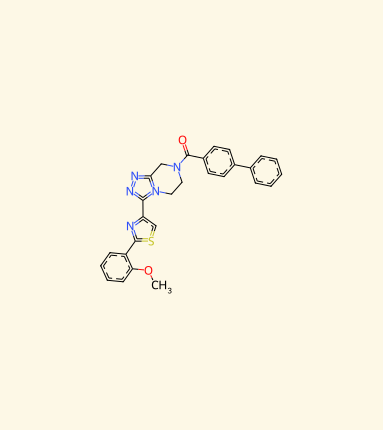 COc1ccccc1-c1nc(-c2nnc3n2CCN(C(=O)c2ccc(-c4ccccc4)cc2)C3)cs1